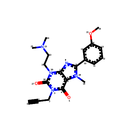 C#CCn1c(=O)c2c(nc(-c3cccc(OC)c3)n2C)n(CCN(C)C)c1=O